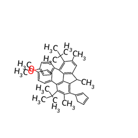 COc1ccc(-c2c3c(cc(C)c2C(C)(C)C)C(C)c2c(C4=CC=CC4)c(C)c(C(C)(C)C)c(-c4ccc(OC)cc4)c2-3)cc1